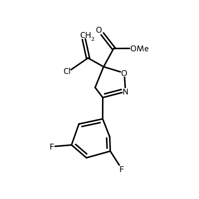 C=C(Cl)C1(C(=O)OC)CC(c2cc(F)cc(F)c2)=NO1